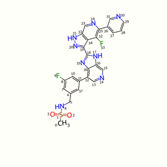 CS(=O)(=O)NCc1cc(F)cc(-c2cncc3[nH]c(-c4n[nH]c5cnc(-c6cccnc6)c(F)c45)nc23)c1